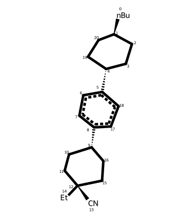 CCCC[C@H]1CC[C@H](c2ccc([C@H]3CC[C@@](C#N)(CC)CC3)cc2)CC1